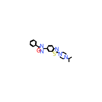 CC(C)N1CCN(c2nc3ccc(-c4noc(-c5ccccc5)n4)cc3s2)CC1